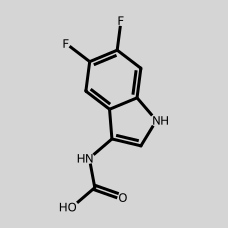 O=C(O)Nc1c[nH]c2cc(F)c(F)cc12